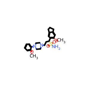 COc1cc2c(cc1C(CCN1CCN(c3ccccc3OC)CC1)S(N)(=O)=O)CCC2